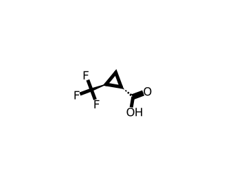 O=C(O)[C@H]1C[C@@H]1C(F)(F)F